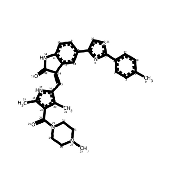 Cc1ccc(-c2nc(-c3ccc4c(c3)/C(=C/c3[nH]c(C)c(C(=O)N5CCN(C)CC5)c3C)C(=O)N4)cs2)cc1